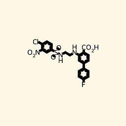 O=C(O)c1ccc(-c2ccc(F)cc2)cc1NCCNS(=O)(=O)c1ccc(Cl)c([N+](=O)[O-])c1